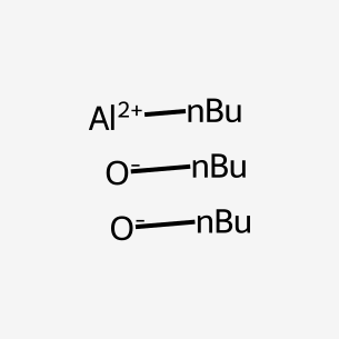 CCCC[O-].CCCC[O-].CCC[CH2][Al+2]